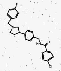 O=C(NCc1ccc(C2CCN(Cc3ccc(F)cc3)C2)cc1)c1ccc(Cl)cc1